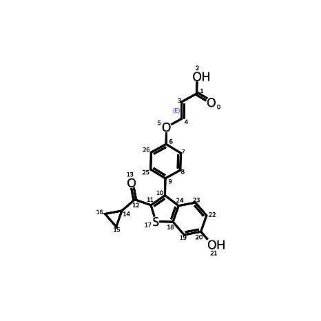 O=C(O)/C=C/Oc1ccc(-c2c(C(=O)C3CC3)sc3cc(O)ccc23)cc1